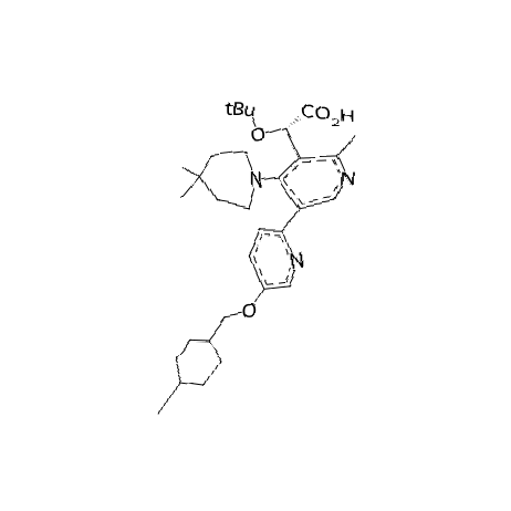 Cc1ncc(-c2ccc(OCC3CCC(C)CC3)cn2)c(N2CCC(C)(C)CC2)c1[C@H](OC(C)(C)C)C(=O)O